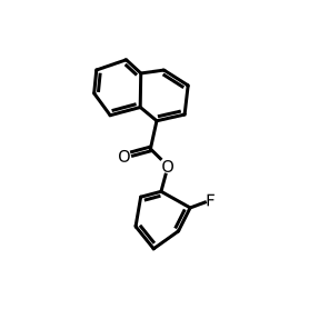 O=C(Oc1ccccc1F)c1cccc2ccccc12